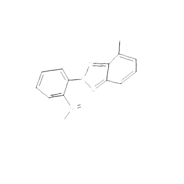 O=[N+]([O-])c1ccccc1-n1nc2cccc(Cl)c2n1